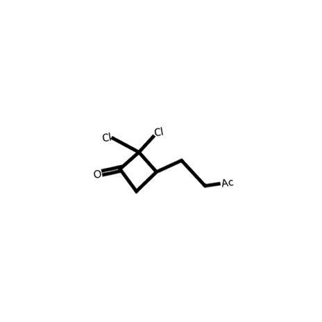 CC(=O)CCC1CC(=O)C1(Cl)Cl